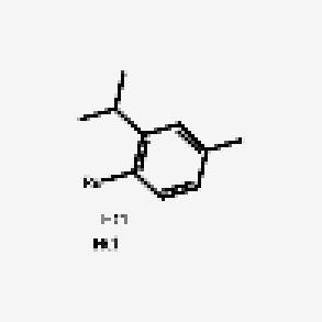 Cc1cc[c]([Ru])c(C(C)C)c1.Cl.Cl